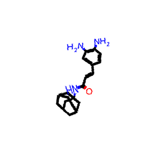 Nc1ccc(C=CC(=O)NC23CC4CC(CC(C4)C2)C3)cc1N